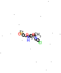 CC[S+]([O-])c1ccc(CC(=O)NC2=CCC(OC(C)(C)Cn3ccc4cc(Cl)ccc43)C=C2)cc1